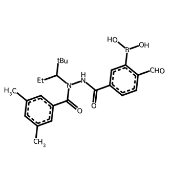 CCC(N(NC(=O)c1ccc(C=O)c(B(O)O)c1)C(=O)c1cc(C)cc(C)c1)C(C)(C)C